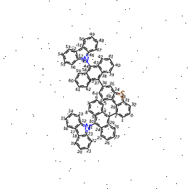 c1cc(-c2c3ccccc3c(-n3c4ccccc4c4ccccc43)c3ccccc23)c2c(c1)sc1cc(-c3c4ccccc4c(-n4c5ccccc5c5ccccc54)c4ccccc34)ccc12